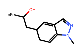 CCCC(O)CC1C=c2cnn(C)c2=CC1